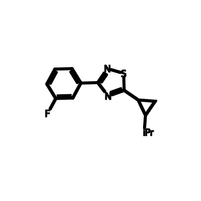 CC(C)C1CC1c1nc(-c2cccc(F)c2)ns1